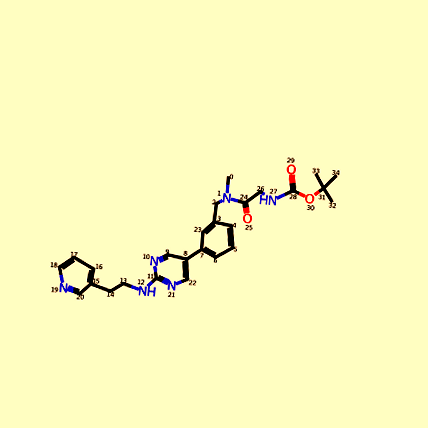 CN(Cc1cccc(-c2cnc(NCCc3cccnc3)nc2)c1)C(=O)CNC(=O)OC(C)(C)C